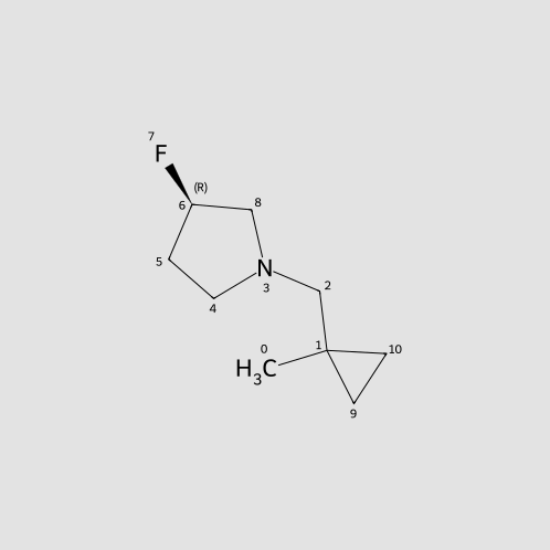 CC1(CN2CC[C@@H](F)C2)CC1